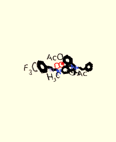 CC(=O)Oc1ccc2c3c1OC1C(N(C)C(=O)/C=C/c4ccc(C(F)(F)F)cc4)CC[C@@]4(OC(C)=O)[C@@H](C2)N(CCc2ccccc2)CC[C@]314